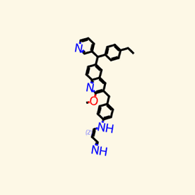 CCc1ccc(C(c2cccnc2)c2ccc3nc(OC)c(Cc4ccc(N/C=C\C=N)cc4)cc3c2)cc1